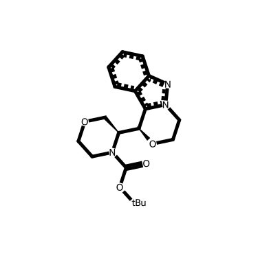 CC(C)(C)OC(=O)N1CCOC[C@H]1[C@@H]1OCCn2nc3ccccc3c21